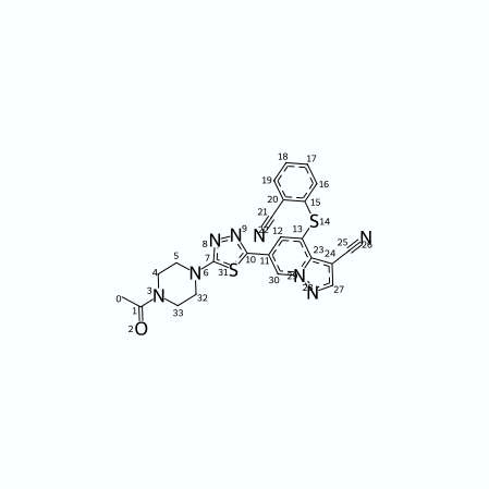 CC(=O)N1CCN(c2nnc(-c3cc(Sc4ccccc4C#N)c4c(C#N)cnn4c3)s2)CC1